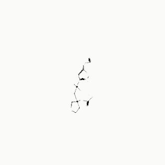 CC(=O)OC1(CC(C)(C)c2cc(NC=O)on2)CCOC1